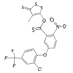 Cc1c(OC(=S)c2cc(Oc3ccc(C(F)(F)F)cc3Cl)ccc2[N+](=O)[O-])ssc1=S